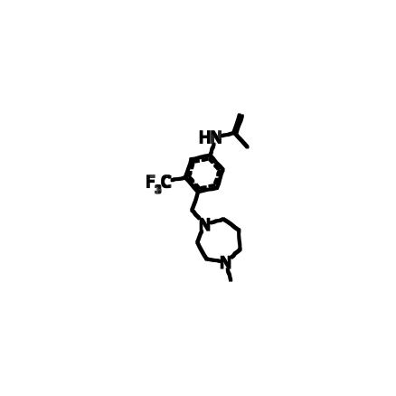 C=C(C)Nc1ccc(CN2CCCN(C)CC2)c(C(F)(F)F)c1